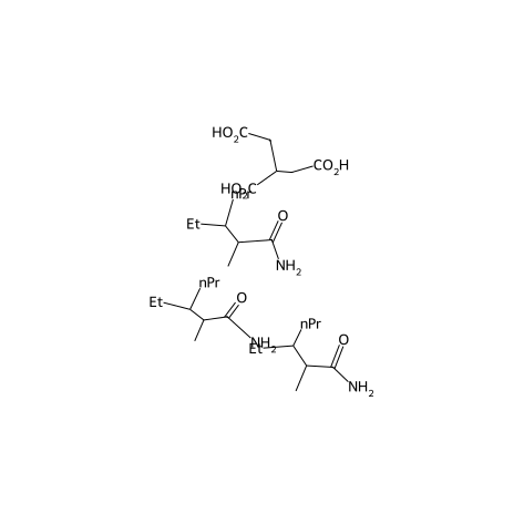 CCCC(CC)C(C)C(N)=O.CCCC(CC)C(C)C(N)=O.CCCC(CC)C(C)C(N)=O.O=C(O)CC(CC(=O)O)C(=O)O